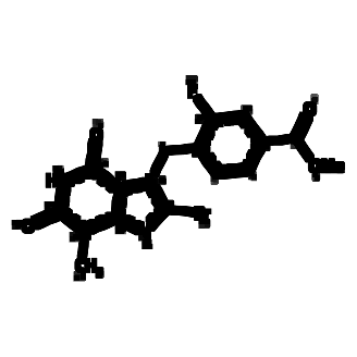 COC(=O)c1ccc(Cn2c(Br)nc3c2c(=O)[nH]c(=O)n3C)c(F)c1